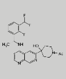 CC(=O)N1CCC(O)(c2cc3c(N[C@H](C)c4cccc(C(F)F)c4F)ccnc3cn2)CC1